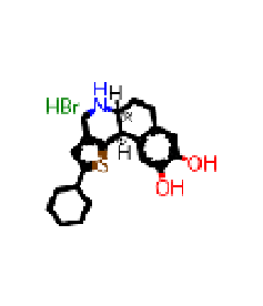 Br.Oc1cc2c(cc1O)[C@H]1c3sc(C4CCCCC4)cc3CN[C@@H]1CC2